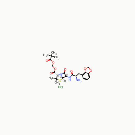 CC(C)(C)C(=O)OCOC(=O)[C@@H]1N2C(=O)[C@@H](NC(=O)C(N)Cc3cccc4c3OCO4)[C@H]2SC1(C)C.Cl